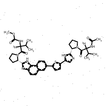 [2H]C(NC(C)=O)(C(=O)N1CCC[C@H]1c1ncc(-c2ccc(-c3ccc4c(ccc5nc([C@@H]6CCCN6C(=O)C([2H])(NC(=O)OC)C(C)C)[nH]c54)c3)s2)[nH]1)C(C)C